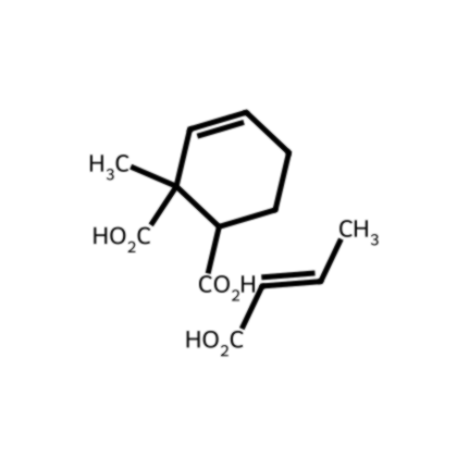 CC1(C(=O)O)C=CCCC1C(=O)O.CC=CC(=O)O